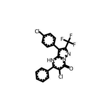 O=c1c(Cl)c(-c2ccccc2)[nH]c2c(-c3ccc(Cl)cc3)c(C(F)(F)F)nn12